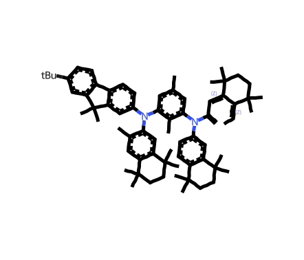 C=C(/C=C1\C(=C/C)C(C)(C)CCC1(C)C)N(c1ccc2c(c1)C(C)(C)CCC2(C)C)c1cc(C)cc(N(c2ccc3c(c2)C(C)(C)c2cc(C(C)(C)C)ccc2-3)c2cc3c(cc2C)C(C)(C)CCC3(C)C)c1C